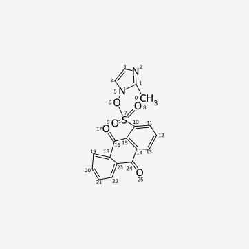 Cc1nccn1OS(=O)(=O)c1cccc2c1C(=O)c1ccccc1C2=O